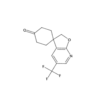 O=C1CCC2(CC1)COc1ncc(C(F)(F)F)cc12